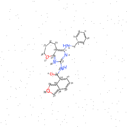 O=C(Nc1nc(NCc2ccccc2)c2c(n1)OCCCC2)c1cccc2cocc12